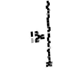 CCCCCCCCCCCCCCCCCCCC[N+](C)(C)C.O=C(O)O